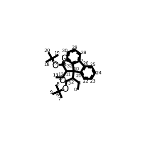 CCC(C(=O)OC(C)(C)C)C1(C(CC)C(=O)OC(C)(C)C)c2ccccc2-c2ccccc21